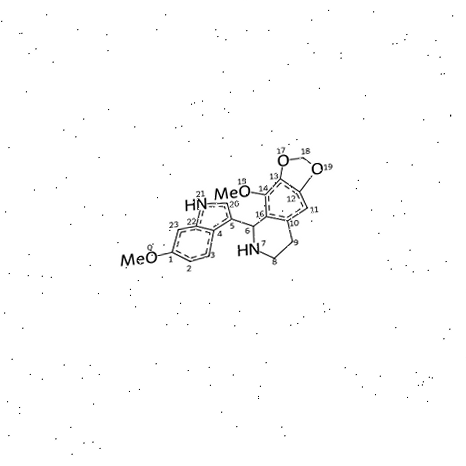 COc1ccc2c(C3NCCc4cc5c(c(OC)c43)OCO5)c[nH]c2c1